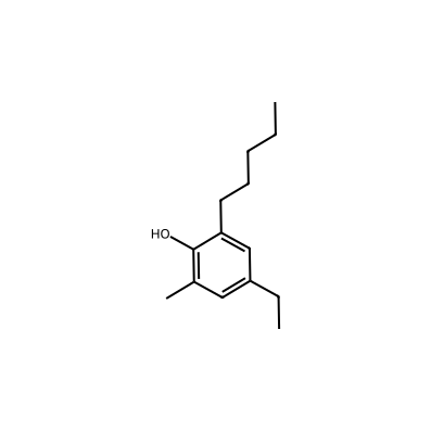 CCCCCc1cc(CC)cc(C)c1O